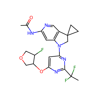 CC(=O)Nc1cc2c(cn1)C1(CC1)CN2c1cc(OC2COCC2F)nc(C(C)(F)F)n1